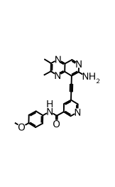 COc1ccc(NC(=O)c2cncc(C#Cc3c(N)ncc4nc(C)c(C)nc34)c2)cc1